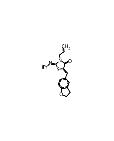 C=CCN1C(=O)/C(=C/c2ccc3c(c2)CCO3)S/C1=N\C(C)C